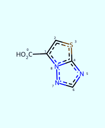 O=C(O)c1csc2ncnn12